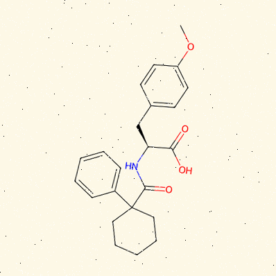 COc1ccc(C[C@H](NC(=O)C2(c3ccccc3)CCCCC2)C(=O)O)cc1